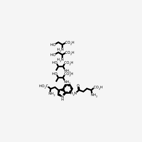 CC(O)C(N)C(=O)O.CC(O)C(N)C(=O)O.NC(=O)CCC(N)C(=O)O.NC(CO)C(=O)O.NC(CO)C(=O)O.NC(Cc1c[nH]c2ccccc12)C(=O)O